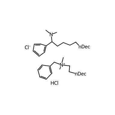 CCCCCCCCCCCCCCC(c1ccccc1)N(C)C.CCCCCCCCCCCC[N+](C)(C)Cc1ccccc1.Cl.[Cl-]